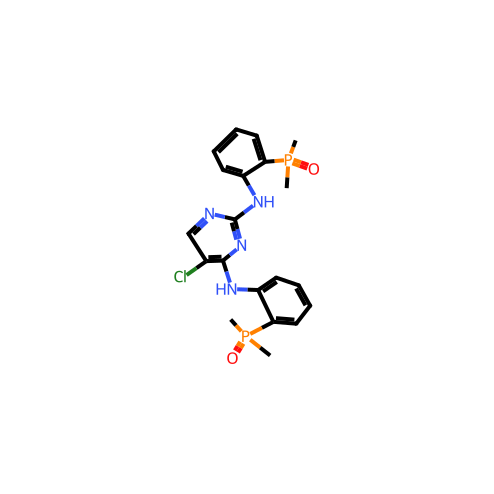 CP(C)(=O)c1ccccc1Nc1ncc(Cl)c(Nc2ccccc2P(C)(C)=O)n1